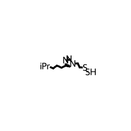 CC(C)CCCc1cn(CCSS)nn1